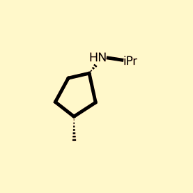 CC(C)N[C@H]1CC[C@@H](C)C1